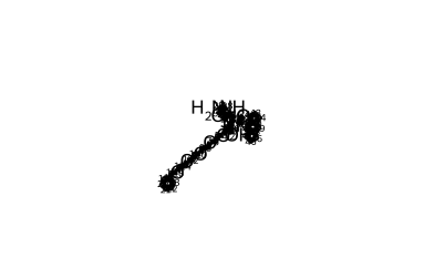 C[C@](O)(COCCOCCOCCOCCOCc1ccccc1)C1SC(S(=N)(N)=O)=CN1C(=O)Nc1c2c(cc3c1CCC3)CCC2